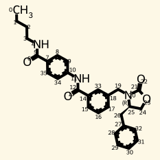 CCCCNC(=O)c1ccc(NC(=O)c2cccc(CN3C(=O)OC[C@H]3Cc3ccccc3)c2)cc1